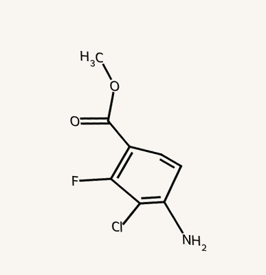 COC(=O)c1ccc(N)c(Cl)c1F